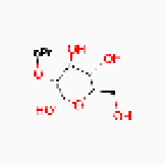 CCCO[C@@H]1[C@@H](O)[C@H](O)[C@@H](CO)O[C@@H]1O